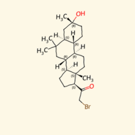 CC1(C)C[C@@H]2[C@H](CC[C@]3(C)[C@@H](C(=O)CBr)CC[C@@H]23)[C@H]2CC[C@@](C)(O)C[C@@H]21